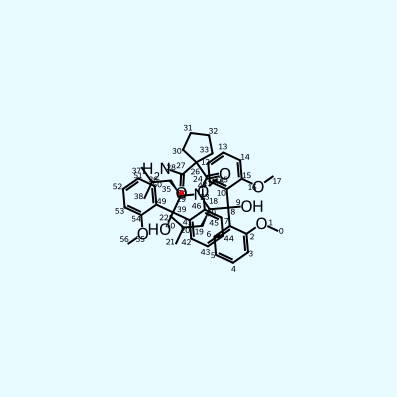 COc1ccccc1C(O)(c1ccccc1OC)[C@@H](CC(C)C)N(C(=O)C1(C(N)=O)CCCC1)[C@H](CC(C)C)C(O)(c1ccccc1OC)c1ccccc1OC